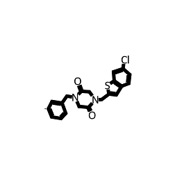 O=C1CN(Cc2cc3ccc(Cl)cc3s2)C(=O)CN1Cc1c[c]ccc1